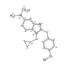 CCOc1ccc(Cc2nc3cc(N(C)C(=O)O)ccc3n2CC2CC2)cc1